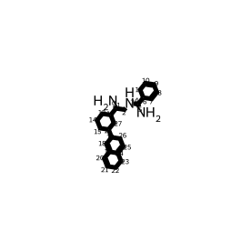 NC(CNC(N)C1C=CC=CC1)C1CCCC(C2C=C3C=CCCC3=CC2)C1